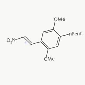 CCCCCc1cc(OC)c(/C=C/[N+](=O)[O-])cc1OC